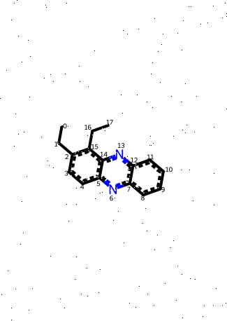 CCc1ccc2nc3ccccc3nc2c1CC